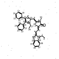 CCN1C(=CC=c2sc(=CC3SC(c4ccccc4)=C(c4ccccc4)N3CC)n(C)c2=O)Sc2ccccc21